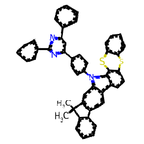 CC1(C)c2ccccc2-c2cc3c4ccc5c(c4n(-c4ccc(-c6cc(-c7ccccc7)nc(-c7ccccc7)n6)cc4)c3cc21)Sc1ccccc1S5